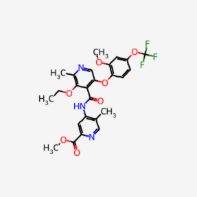 CCOc1c(C)ncc(Oc2ccc(OC(F)(F)F)cc2OC)c1C(=O)Nc1cc(C(=O)OC)ncc1C